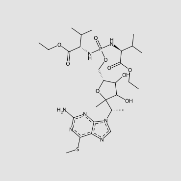 CCOC(=O)[C@@H](NP(=O)(N[C@H](C(=O)OCC)C(C)C)OC[C@H]1OC(C)([C@H](C)n2cnc3c(SC)nc(N)nc32)C(O)C1O)C(C)C